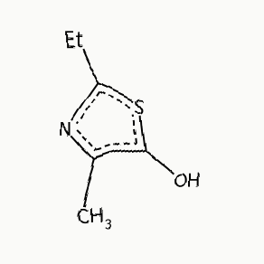 CCc1nc(C)c(O)s1